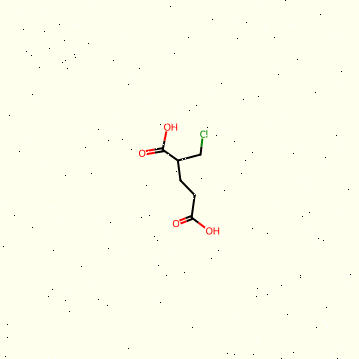 O=C(O)CCC(CCl)C(=O)O